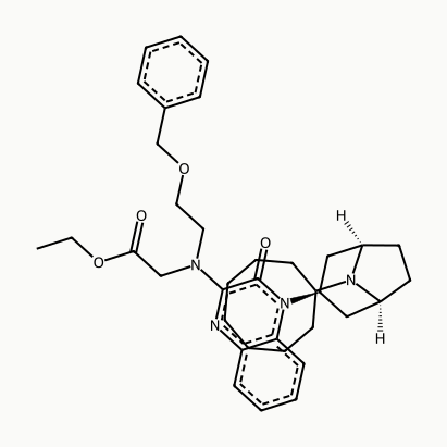 CCOC(=O)CN(CCOCc1ccccc1)c1nc2ccccc2n([C@H]2C[C@H]3CC[C@@H](C2)N3C2CCCCCCC2)c1=O